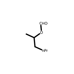 CCCCC(C)O[C]=O